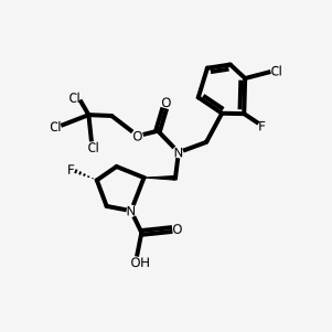 O=C(OCC(Cl)(Cl)Cl)N(Cc1cccc(Cl)c1F)C[C@@H]1C[C@@H](F)CN1C(=O)O